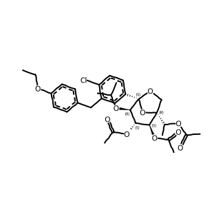 CCOc1ccc(Cc2cc([C@]34OC[C@](C(C)OC(C)=O)(O3)[C@@H](OC(C)=O)[C@H](OC(C)=O)[C@H]4OC(C)C)ccc2Cl)cc1